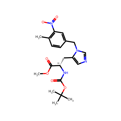 COC(=O)[C@H](Cc1cncn1Cc1ccc(C)c([N+](=O)[O-])c1)NC(=O)OC(C)(C)C